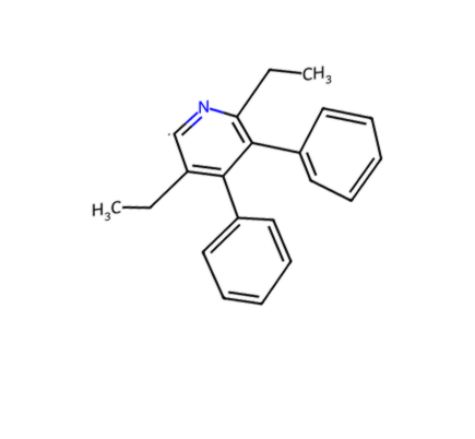 CCc1[c]nc(CC)c(-c2ccccc2)c1-c1ccccc1